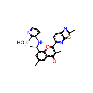 Cc1cc([C@@H](C)Nc2cccnc2C(=O)O)c2oc(-c3ccc4nc(C)sc4n3)c(C)c(=O)c2c1